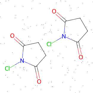 O=C1CCC(=O)N1Cl.O=C1CCC(=O)N1Cl